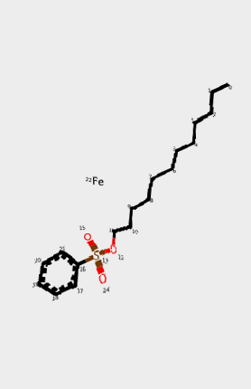 CCCCCCCCCCCCOS(=O)(=O)c1ccccc1.[Fe]